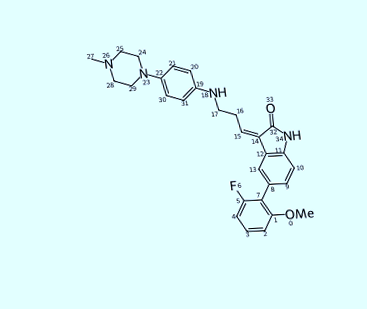 COc1cccc(F)c1-c1ccc2c(c1)/C(=C/CCNc1ccc(N3CCN(C)CC3)cc1)C(=O)N2